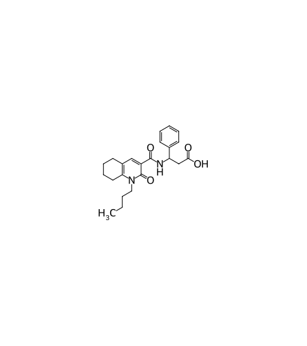 CCCCn1c2c(cc(C(=O)NC(CC(=O)O)c3ccccc3)c1=O)CCCC2